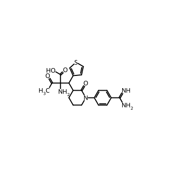 CC(=O)C(N)(C(=O)O)C(c1ccsc1)C1CCCN(c2ccc(C(=N)N)cc2)C1=O